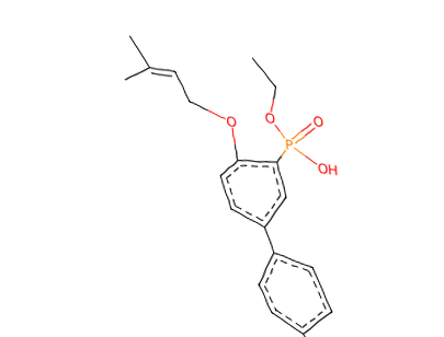 CCOP(=O)(O)c1cc(-c2ccc(C)cc2)ccc1OCC=C(C)C